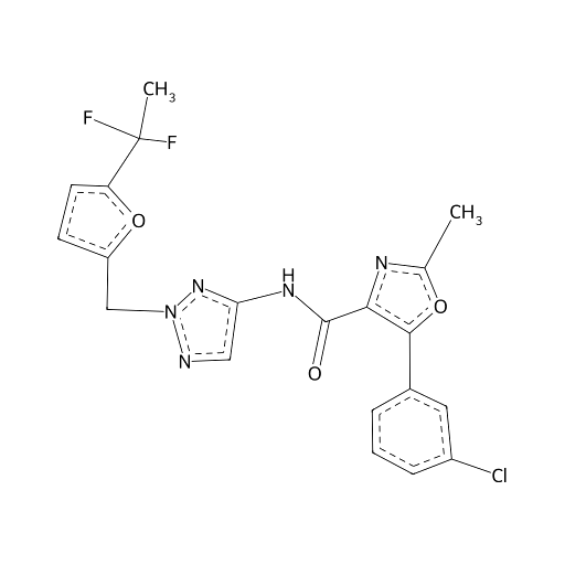 Cc1nc(C(=O)Nc2cnn(Cc3ccc(C(C)(F)F)o3)n2)c(-c2cccc(Cl)c2)o1